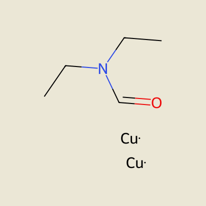 CCN(C=O)CC.[Cu].[Cu]